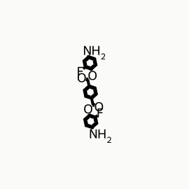 Nc1ccc(OC(=O)c2ccc(C(=O)Oc3ccc(N)cc3F)cc2)c(F)c1